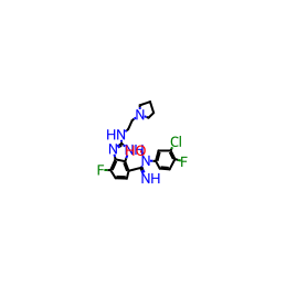 N=C(c1ccc(F)c2nc(NCCN3CCCC3)[nH]c12)N(O)c1ccc(F)c(Cl)c1